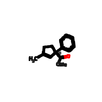 COC(=O)[C@]1(c2ccccc2)C=C(C)CC1